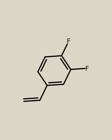 C=Cc1ccc(F)c(F)c1